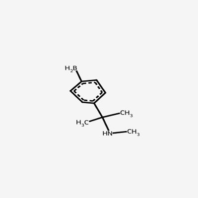 Bc1ccc(C(C)(C)NC)cc1